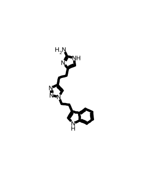 Nc1nc(CCc2cn(CCc3c[nH]c4ccccc34)nn2)c[nH]1